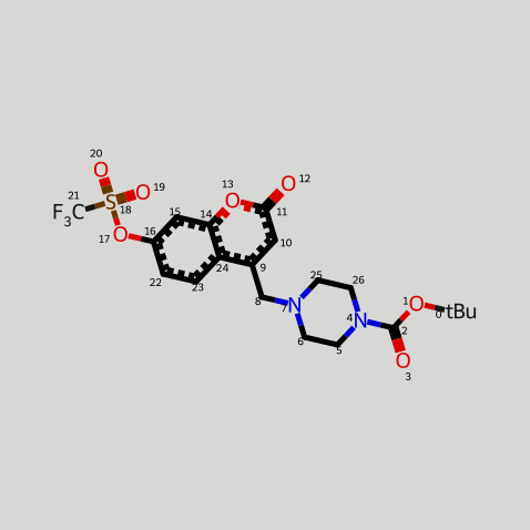 CC(C)(C)OC(=O)N1CCN(Cc2cc(=O)oc3cc(OS(=O)(=O)C(F)(F)F)ccc23)CC1